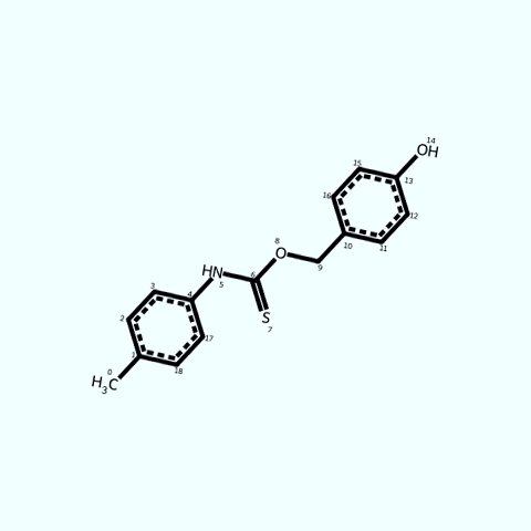 Cc1ccc(NC(=S)OCc2ccc(O)cc2)cc1